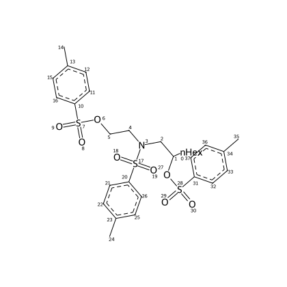 CCCCCCC(CN(CCOS(=O)(=O)c1ccc(C)cc1)S(=O)(=O)c1ccc(C)cc1)OS(=O)(=O)c1ccc(C)cc1